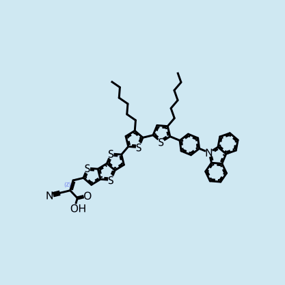 CCCCCCc1cc(-c2sc(-c3cc4sc5cc(/C=C(/C#N)C(=O)O)sc5c4s3)cc2CCCCCC)sc1-c1ccc(-n2c3ccccc3c3ccccc32)cc1